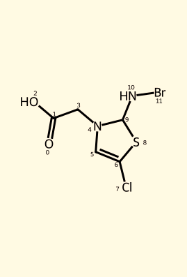 O=C(O)CN1C=C(Cl)SC1NBr